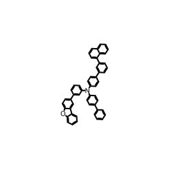 c1ccc(-c2ccc(N(c3ccc(-c4cccc(-c5cccc6ccccc56)c4)cc3)c3cccc(-c4ccc5oc6ccccc6c5c4)c3)cc2)cc1